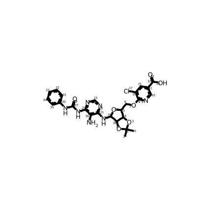 CC1(C)OC2C(COc3ncc(C(=O)O)cc3Cl)OC(Nc3ncnc(NC(=O)Nc4ccccc4)c3N)C2O1